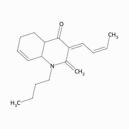 C=C1/C(=C\C=C/C)C(=O)C2CCC=CC2N1CCCC